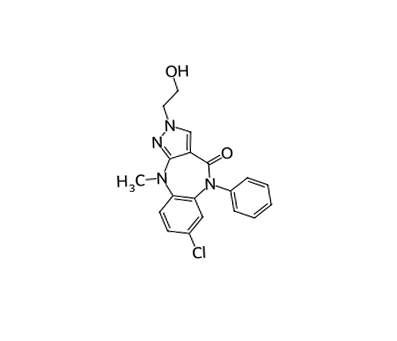 CN1c2ccc(Cl)cc2N(c2ccccc2)C(=O)c2cn(CCO)nc21